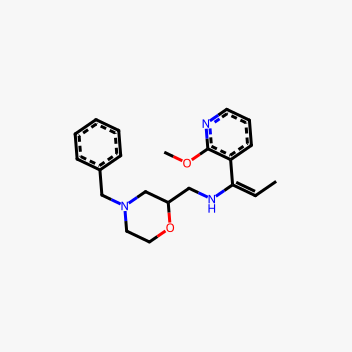 C/C=C(/NCC1CN(Cc2ccccc2)CCO1)c1cccnc1OC